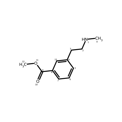 CNCCc1cccc(C(=O)OC)c1